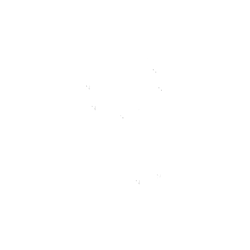 c1ccc(-n2c(-c3ccc(-c4nc5c(-c6nc7ccccc7n6-c6ccccc6)ccc(-c6nc7ccccc7n6-c6ccccc6)c5s4)cc3)nc3ccccc32)cc1